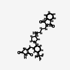 O=C1NC(=O)C(=Cc2cc(C(F)(F)F)ccc2N2CCC(NCCCN3C(=O)c4ccccc4C3=O)C2)S1